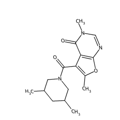 Cc1oc2ncn(C)c(=O)c2c1C(=O)N1CC(C)CC(C)C1